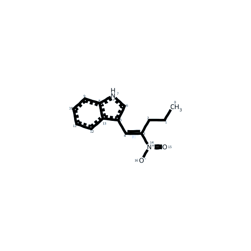 CCC/C(=C\c1c[nH]c2ccccc12)[N+](=O)[O-]